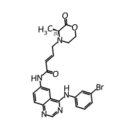 C[C@H]1C(=O)OCCN1CC=CC(=O)Nc1ccc2ncnc(Nc3cccc(Br)c3)c2c1